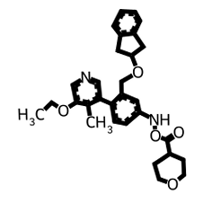 CCOc1cncc(-c2ccc(NOC(=O)C3CCOCC3)cc2COC2Cc3ccccc3C2)c1C